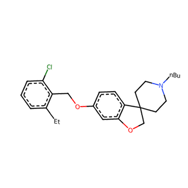 CCCCN1CCC2(CC1)COc1cc(OCc3c(Cl)cccc3CC)ccc12